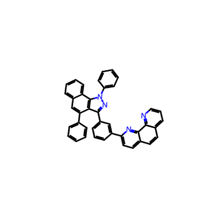 c1ccc(-c2cc3ccccc3c3c2c(-c2cccc(-c4ccc5ccc6cccnc6c5n4)c2)nn3-c2ccccc2)cc1